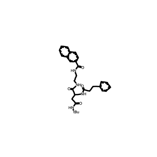 CC(C)(C)NC(=O)CC(NC(=O)CCc1ccccc1)C(=O)NCCNC(=O)c1ccc2ccccc2c1